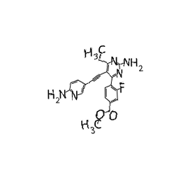 CCc1nc(N)nc(-c2ccc(C(=O)OC)cc2F)c1C#Cc1ccc(N)nc1